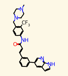 CN1CCN(Cc2ccc(NC(=O)C=Cc3cccc(-c4cnc5[nH]ccc5c4)c3)cc2C(F)(F)F)CC1